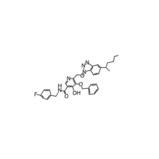 CCCCC(C)c1ccc2c(c1)nnn2OCc1ncc(C(=O)NCc2ccc(F)cc2)c(O)c1OCc1ccccc1